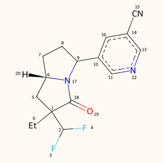 CCC1(C(F)F)C[C@@H]2CCC(c3cncc(C#N)c3)N2C1=O